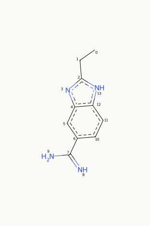 CCc1nc2cc(C(=N)N)ccc2[nH]1